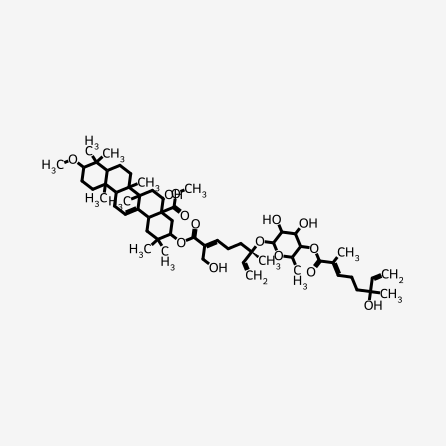 C=CC(C)(O)CC/C=C(\C)C(=O)OC1C(C)OC(O[C@](C)(C=C)CC/C=C(\CO)C(=O)OC2CC3(C(=O)OC)C(O)CC4(C)C(=CCC5C6(C)CCC(OC)C(C)(C)C6CCC54C)C3CC2(C)C)C(O)C1O